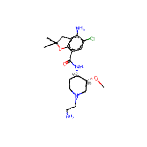 CO[C@@H]1CN(CCN)CC[C@@H]1NC(=O)c1cc(Cl)c(N)c2c1OC(C)(C)C2